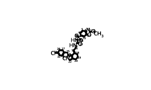 COc1nc2ccc(S(=O)(=O)NC(=O)NC/C=C3\CCCc4cnn(Cc5ccc(Cl)cc5Cl)c43)cc2o1